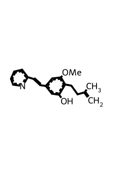 C=C(C)CCc1c(O)cc(C=Cc2ccccn2)cc1OC